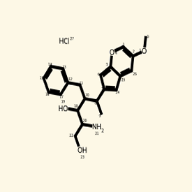 COc1coc2cc(C(C)C(Cc3ccccc3)C(O)C(N)CO)cc-2c1.Cl